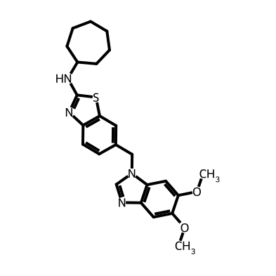 COc1cc2ncn(Cc3ccc4nc(NC5CCCCCC5)sc4c3)c2cc1OC